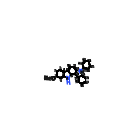 COc1ccc2c(c1)[nH]c1c2ccc2c1c1ccccc1n2-c1ccccc1